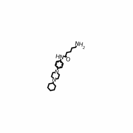 NCCCCC(=O)Nc1ccc(N2CCN(C3CCCCC3)CC2)cc1